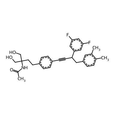 CC(=O)NC(CO)(CO)CCc1ccc(C#CC(Cc2ccc(C)c(C)c2)c2cc(F)cc(F)c2)cc1